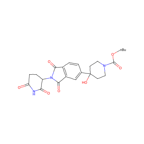 CCCCOC(=O)N1CCC(O)(c2ccc3c(c2)C(=O)N(C2CCC(=O)NC2=O)C3=O)CC1